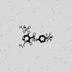 Cn1ncc(OS(C)(=O)=O)c(C(=O)Nc2ccc(S(F)(F)(F)(F)F)cc2)c1=O